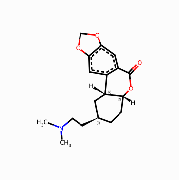 CN(C)CC[C@@H]1CC[C@H]2OC(=O)c3cc4c(cc3[C@H]2C1)OCO4